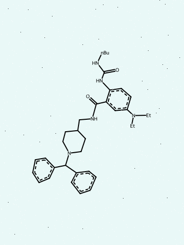 CCCCNC(=O)Nc1ccc(N(CC)CC)cc1C(=O)NCC1CCN(C(c2ccccc2)c2ccccc2)CC1